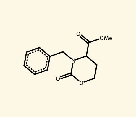 COC(=O)C1CCOC(=O)N1Cc1ccccc1